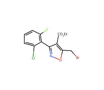 CCOC(=O)c1c(-c2c(F)cccc2Cl)noc1CBr